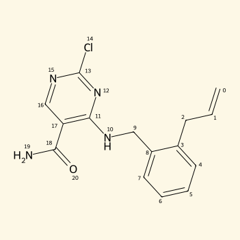 C=CCc1ccccc1CNc1nc(Cl)ncc1C(N)=O